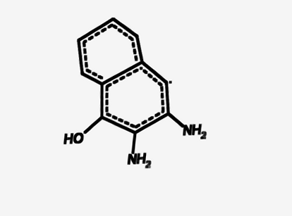 Nc1[c]c2ccccc2c(O)c1N